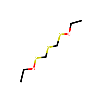 CCOSCSCSOCC